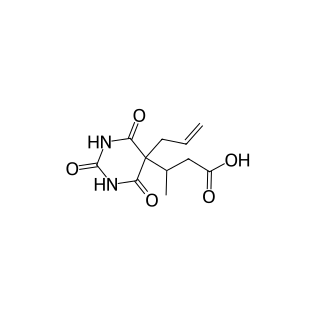 C=CCC1(C(C)CC(=O)O)C(=O)NC(=O)NC1=O